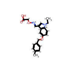 CCn1cc(C=NOCC(=O)O)c2cc(OCc3ccc(C)cc3)ccc21